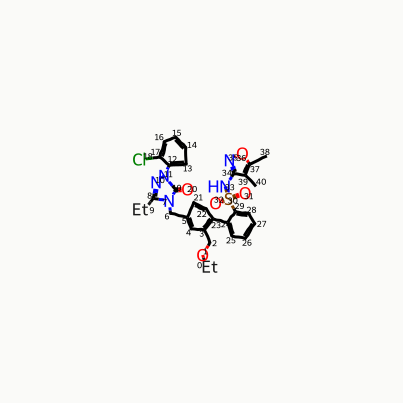 CCOCc1cc(Cn2c(CC)nn(-c3ccccc3Cl)c2=O)ccc1-c1ccccc1S(=O)(=O)Nc1noc(C)c1C